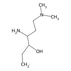 [CH2]CC(O)C(N)CCN(C)C